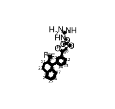 N=C(N)NOS(=O)(=O)CC(=O)c1cccc(C2=C(C(F)F)CCc3ccccc32)c1